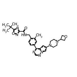 Cc1cc(-c2ncnn3cc(N4CCN(C5COC5)CC4)cc23)ccc1CNC(=O)c1noc(C(C)(C)C)n1